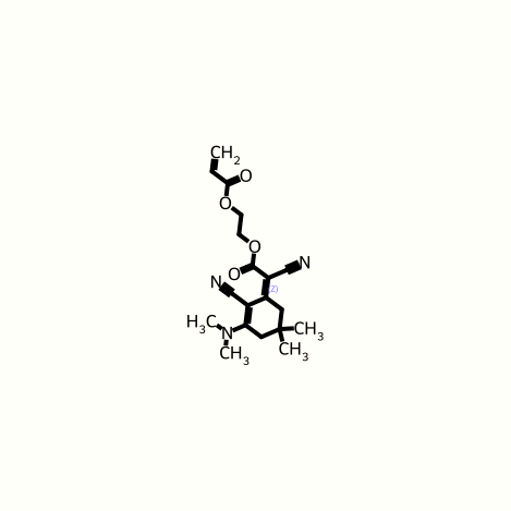 C=CC(=O)OCCOC(=O)/C(C#N)=C1/CC(C)(C)CC(N(C)C)=C1C#N